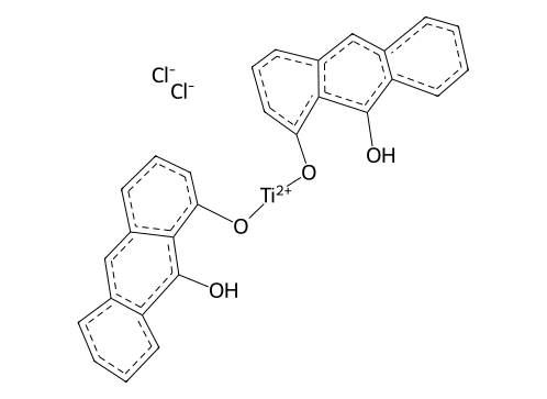 Oc1c2ccccc2cc2cccc([O][Ti+2][O]c3cccc4cc5ccccc5c(O)c34)c12.[Cl-].[Cl-]